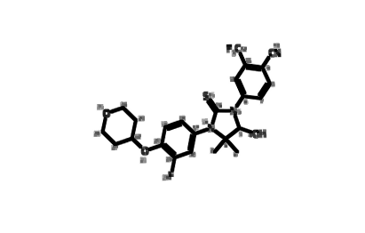 CC1(C)C(O)N(c2ccc(C#N)c(C(F)(F)F)c2)C(=S)N1c1ccc(OC2CCOCC2)c(F)c1